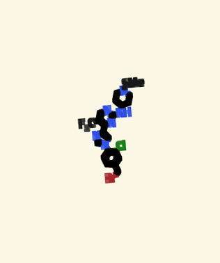 CSN1CCC(Nc2ncc(C(F)(F)F)c(-c3cn(-c4ccc(CBr)cc4Cl)cn3)n2)CC1